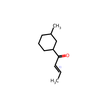 C/C=C/C(=O)C1CCCC(C)C1